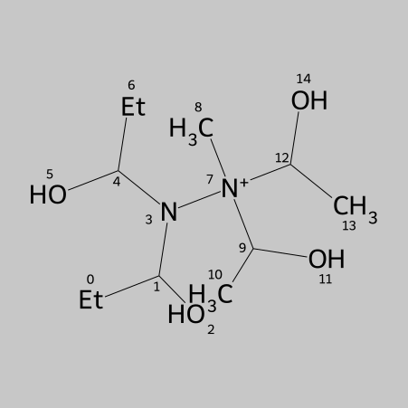 CCC(O)N(C(O)CC)[N+](C)(C(C)O)C(C)O